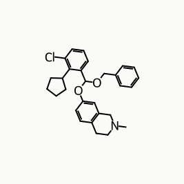 CN1CCc2ccc(OC(OCc3ccccc3)c3cccc(Cl)c3C3CCCC3)cc2C1